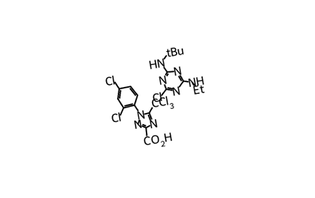 CCNc1nc(Cl)nc(NC(C)(C)C)n1.O=C(O)c1nc(C(Cl)(Cl)Cl)n(-c2ccc(Cl)cc2Cl)n1